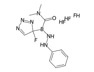 CN(C)C(=O)B(NNc1ccccc1)C1(F)C=NN=N1.F.F.F